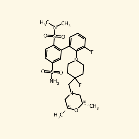 C[C@@H]1CN(CC2(F)CCN(c3c(F)cccc3-c3cc(S(N)(=O)=O)ccc3S(=O)(=O)N(C)C)CC2)C[C@H](C)O1